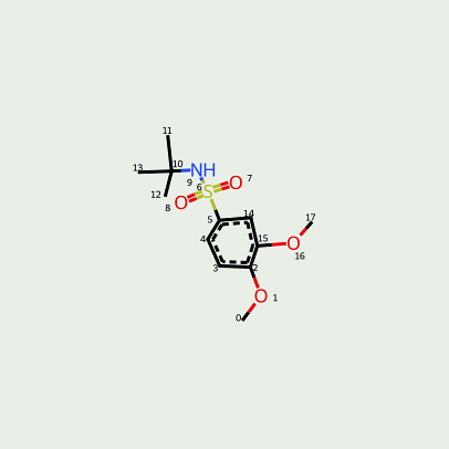 COc1ccc(S(=O)(=O)NC(C)(C)C)cc1OC